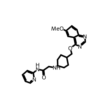 COc1ccc2ncnc(OCC3CCC(NCC(=O)Nc4ccccn4)CC3)c2c1